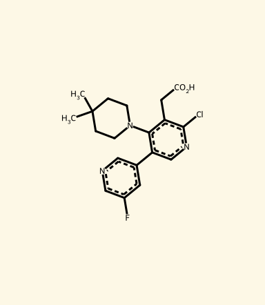 CC1(C)CCN(c2c(-c3cncc(F)c3)cnc(Cl)c2CC(=O)O)CC1